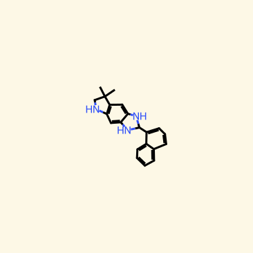 CC1(C)CNc2cc3c(cc21)NC(c1cccc2ccccc12)N3